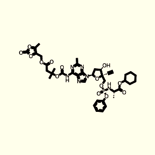 C#C[C@]1(COP(=O)(N[C@@H](C)C(=O)OC2CCCCC2)Oc2ccccc2)O[C@@H](n2cnc3c(NC(=O)OC(C)(C)CC(=O)OCc4oc(=O)oc4C)nc(C)nc32)C[C@@H]1O